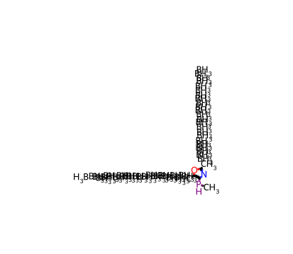 B.B.B.B.B.B.B.B.B.B.B.B.B.B.B.B.B.B.B.B.B.B.B.B.B.B.B.B.B.B.B.B.B.B.B.B.B.B.B.B.B.B.B.B.B.B.B.B.CPc1nc(C)oc1C